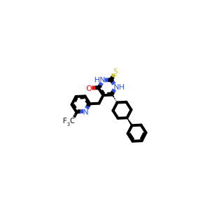 O=c1[nH]c(=S)[nH]c([C@H]2CC[C@H](C3C=CC=CC3)CC2)c1Cc1cccc(C(F)(F)F)n1